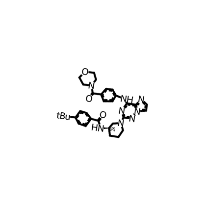 CC(C)(C)c1ccc(C(=O)N[C@@H]2CCCN(c3nc(Nc4ccc(C(=O)N5CCOCC5)cc4)c4nccn4n3)C2)cc1